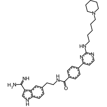 N=C(N)c1c[nH]c2ccc(CCNC(=O)c3ccc(-c4ccnc(NCCCCCN5CCCCC5)n4)cc3)cc12